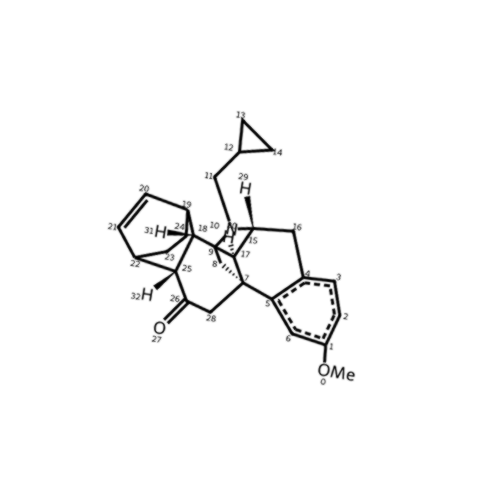 COc1ccc2c(c1)[C@]13CCN(CC4CC4)[C@H](C2)[C@@H]1[C@H]1C2C=CC(CC2)[C@H]1C(=O)C3